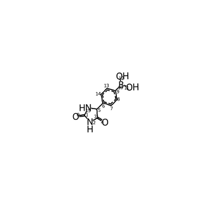 O=C1NC(=O)C(c2ccc(B(O)O)cc2)N1